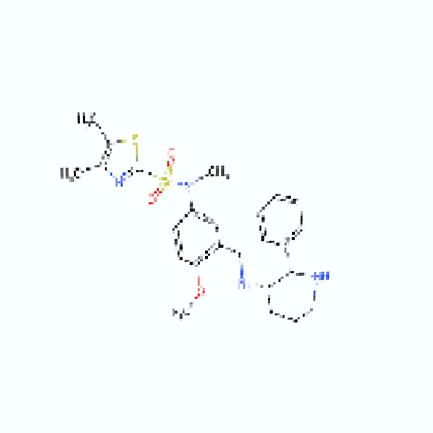 Cc1nc(S(=O)(=O)N(C)c2ccc(OC(F)(F)F)c(CN[C@H]3CCCN[C@H]3c3ccccc3)c2)sc1C